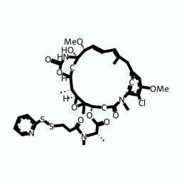 COc1cc2cc(c1Cl)N(C)C(=O)C[C@H](OC(=O)[C@H](C)N(C)C(=O)CCSSc1ccccn1)C1(C)O[C@H]1[C@H](C)[C@@H]1C[C@@](O)(NC(=O)O1)[C@H](OC)/C=C/C=C(\C)C2